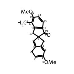 COC1=CCC2=CC3(CC2=C1)Cc1c(ccc(OC)c1C)C3=O